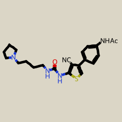 CC(=O)Nc1ccc(-c2csc(NC(=O)NCCCCN3CCCC3)c2C#N)cc1